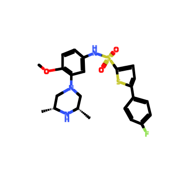 COc1ccc(NS(=O)(=O)c2ccc(-c3ccc(F)cc3)s2)cc1N1C[C@@H](C)N[C@@H](C)C1